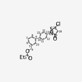 CCC(=O)OCc1cccc(-c2ccc(-n3sc(Cl)cc3=O)cc2)c1